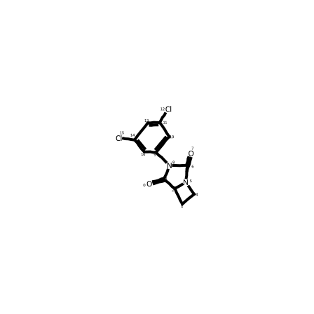 O=C1C2CCN2C(=O)N1c1cc(Cl)cc(Cl)c1